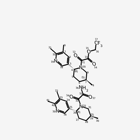 Cc1cc([C@H]2CC[C@H](C)CN2C(=O)C(=O)OCC(F)(F)F)cnc1C.Cc1cc([C@H]2CC[C@H](C)CN2C(=O)C(N)=O)cnc1C